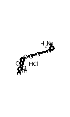 C[C@@H](N)c1cccc(OCCCCCOCCCOCCOc2ccc3c(c2)CN(C2CCC(=O)NC2=O)C3=O)c1.Cl